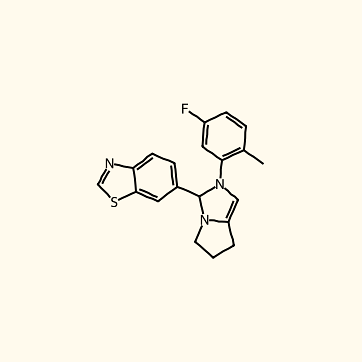 Cc1ccc(F)cc1N1C=C2CCCN2C1c1ccc2ncsc2c1